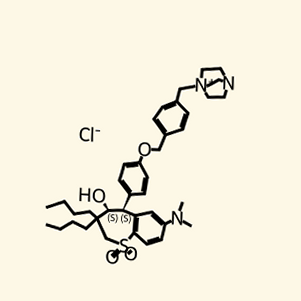 CCCCC1(CCCC)CS(=O)(=O)c2ccc(N(C)C)cc2[C@H](c2ccc(OCc3ccc(C[N+]45CCN(CC4)CC5)cc3)cc2)[C@@H]1O.[Cl-]